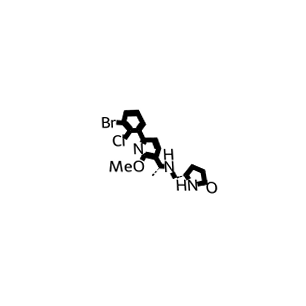 COc1nc(-c2cccc(Br)c2Cl)ccc1[C@@H](C)NC[C@@H]1CCC(=O)N1